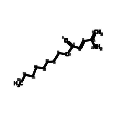 C=C(N)C=CC(=O)OCCCCCCCC